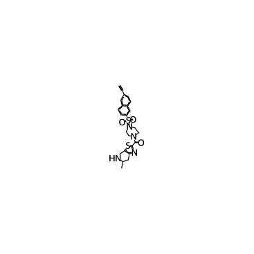 C#Cc1ccc2cc(S(=O)(=O)N3CCN(C(=O)c4nc5c(s4)CNC(C)C5)CC3)ccc2c1